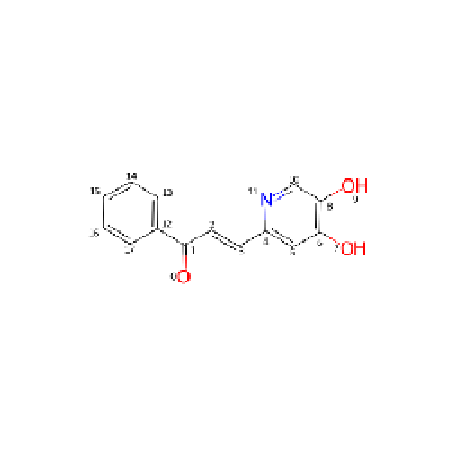 O=C(C=Cc1cc(O)c(O)cn1)c1ccccc1